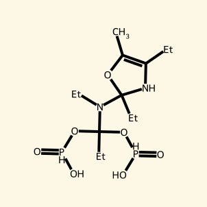 CCC1=C(C)OC(CC)(N(CC)C(CC)(O[PH](=O)O)O[PH](=O)O)N1